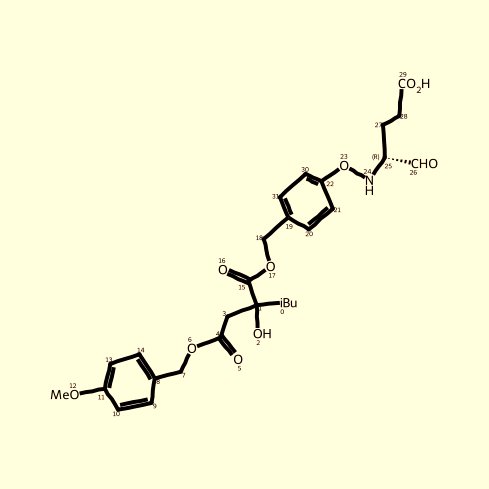 CCC(C)C(O)(CC(=O)OCc1ccc(OC)cc1)C(=O)OCc1ccc(ON[C@@H](C=O)CCC(=O)O)cc1